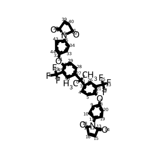 CC(C)(c1ccc(Oc2ccc(N3C(=O)C=CC3=O)cc2)c(C(F)(F)F)c1)c1ccc(Oc2ccc(N3C(=O)C=CC3=O)cc2)c(C(F)(F)F)c1